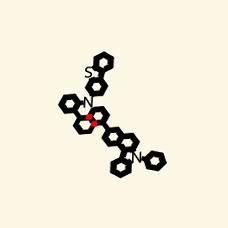 C1=CC(c2ccccc2N(c2ccc(-c3ccc4c(ccc5c4c4ccccc4n5-c4ccccc4)c3)cc2)c2ccc3c(c2)sc2ccccc23)=CCC1